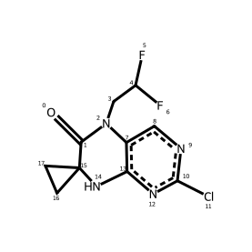 O=C1N(CC(F)F)c2cnc(Cl)nc2NC12CC2